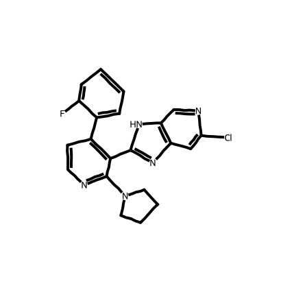 Fc1ccccc1-c1ccnc(N2CCCC2)c1-c1nc2cc(Cl)ncc2[nH]1